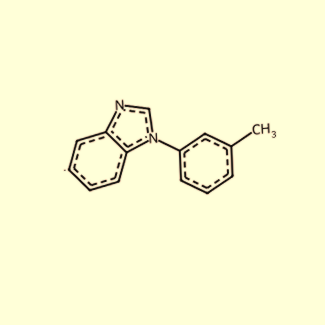 Cc1cccc(-n2cnc3c[c]ccc32)c1